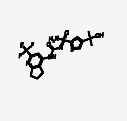 CC(C)(O)c1csc(S(N)(=O)=NC(=O)Nc2cc(C(F)(F)F)nc3c2CCC3)c1